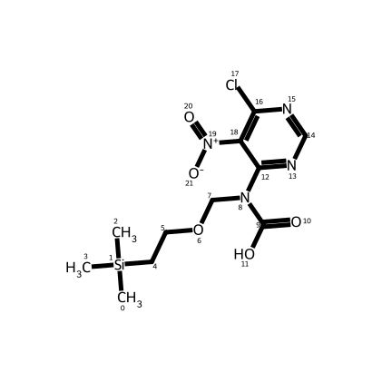 C[Si](C)(C)CCOCN(C(=O)O)c1ncnc(Cl)c1[N+](=O)[O-]